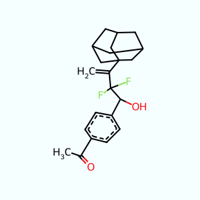 C=C(C12CC3CC(CC(C3)C1)C2)C(F)(F)C(O)c1ccc(C(C)=O)cc1